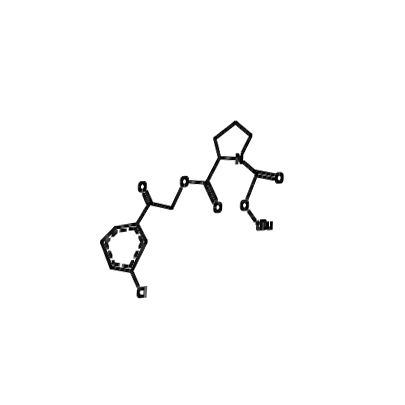 CC(C)(C)OC(=O)N1CCCC1C(=O)OCC(=O)c1cccc(Cl)c1